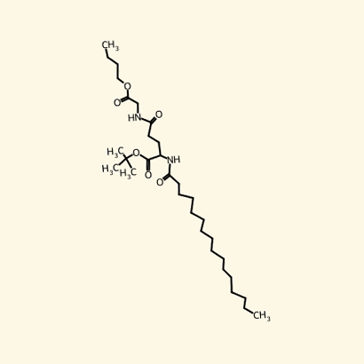 CCCCCCCCCCCCCCCC(=O)NC(CCC(=O)NCC(=O)OCCCC)C(=O)OC(C)(C)C